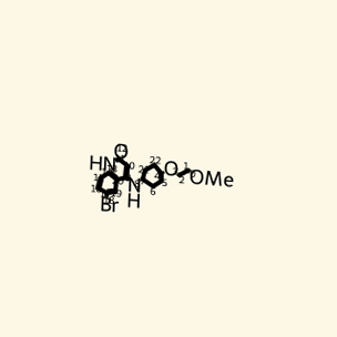 COCCO[C@H]1CC[C@H](Nc2cc(=O)[nH]c3ccc(Br)cc23)CC1